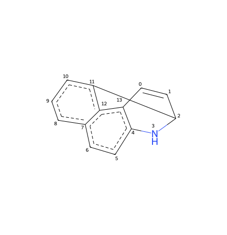 C1=CC2Nc3ccc4cccc2c4c31